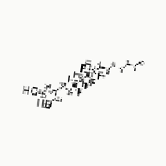 CCCCCCCC(F)(F)C(F)(F)C(F)(F)C(F)(F)CCC(CO)CCO